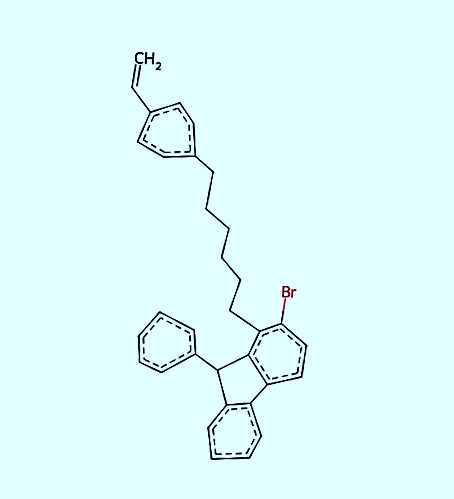 C=Cc1ccc(CCCCCCc2c(Br)ccc3c2C(c2ccccc2)c2ccccc2-3)cc1